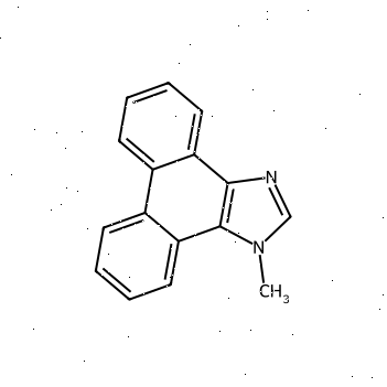 Cn1cnc2c3ccccc3c3ccccc3c21